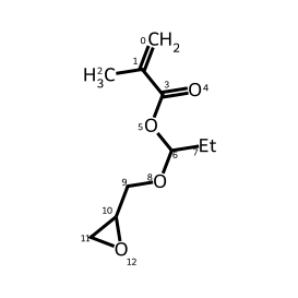 C=C(C)C(=O)OC(CC)OCC1CO1